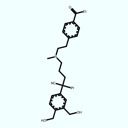 CCC(=O)c1ccc(CCN(C)CCCC(C#N)(c2ccc(CO)c(CO)c2)C(C)C)cc1